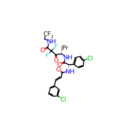 CC(C)[C@H](NC(=O)[C@@H](NC(=O)C=Cc1cccc(Cl)c1)c1ccc(Cl)cc1)C(=O)C(F)(F)C(=O)NCC(F)(F)F